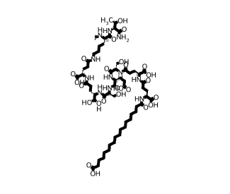 C[C@@H](O)[C@H](NC(=O)[C@H](CCCCNC(=O)CC[C@H](NC(=O)CC[C@H](NC(=O)[C@H](CO)NC(=O)[C@H](CCC(=O)O)NC(=O)[C@H](CO)NC(=O)CC[C@H](NC(=O)CC[C@H](NC(=O)CCCCCCCCCCCCCCCCC(=O)O)C(=O)O)C(=O)O)C(O)O)C(=O)O)NI)C(N)=O